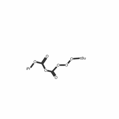 CC(C)OC(=O)OC(=O)OOOC(C)(C)C